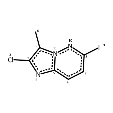 Cc1c(Cl)nc2ccc(I)nn12